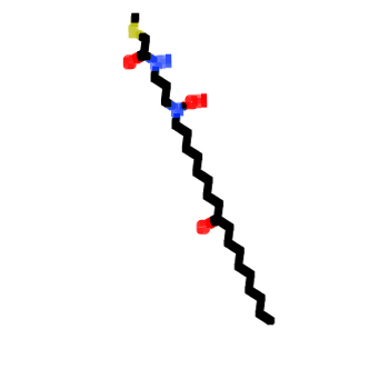 CCCCCCCCCC(=O)CCCCCCCCN(O)CCCNC(=O)CSC